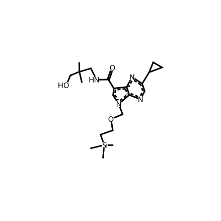 CC(C)(CO)CNC(=O)c1cn(COCC[Si](C)(C)C)c2ncc(C3CC3)nc12